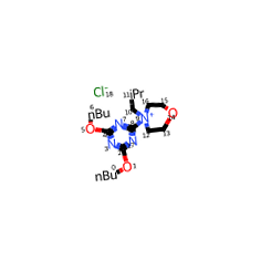 CCCCOc1nc(OCCCC)nc([N+]2(CC(C)C)CCOCC2)n1.[Cl-]